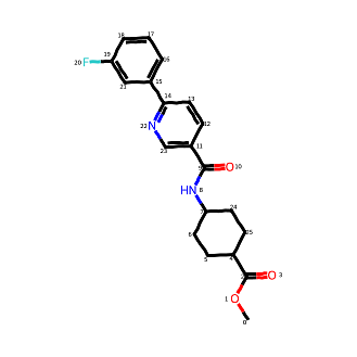 COC(=O)C1CCC(NC(=O)c2ccc(-c3cccc(F)c3)nc2)CC1